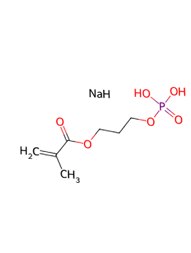 C=C(C)C(=O)OCCCOP(=O)(O)O.[NaH]